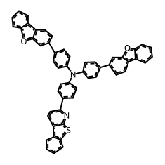 c1ccc2c(c1)oc1cc(-c3ccc(N(c4ccc(-c5ccc6c(c5)oc5ccccc56)cc4)c4ccc(-c5ccc6c(n5)sc5ccccc56)cc4)cc3)ccc12